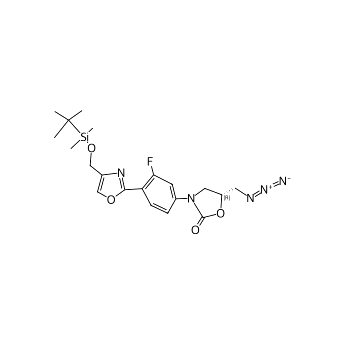 CC(C)(C)[Si](C)(C)OCc1coc(-c2ccc(N3C[C@H](CN=[N+]=[N-])OC3=O)cc2F)n1